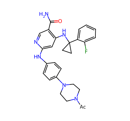 CC(=O)N1CCN(c2ccc(Nc3cc(NC4(c5ccccc5F)CC4)c(C(N)=O)cn3)cc2)CC1